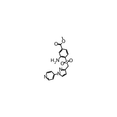 COC(=O)c1ccc(S(=O)(=O)Cc2ccn(-c3ccncc3)n2)c(N)c1